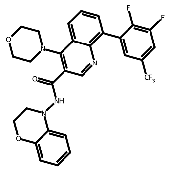 O=C(NN1CCOc2ccccc21)c1cnc2c(-c3cc(C(F)(F)F)cc(F)c3F)cccc2c1N1CCOCC1